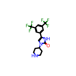 O=c1[nH]c(-c2cc(C(F)(F)F)cc(C(F)(F)F)c2)cn1C1CCNCC1